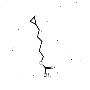 CC(=O)OCCCCCC1CC1